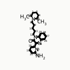 C[C@@H]1CCC[C@H](C)N1CCCCCn1c(=O)c(-c2cccc(N)n2)nc2ccccc21